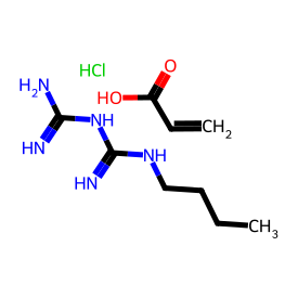 C=CC(=O)O.CCCCNC(=N)NC(=N)N.Cl